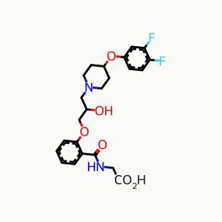 O=C(O)CNC(=O)c1ccccc1OCC(O)CN1CCC(Oc2ccc(F)c(F)c2)CC1